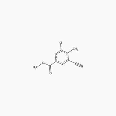 COC(=O)c1cc(Cl)c(C)c(C#N)c1